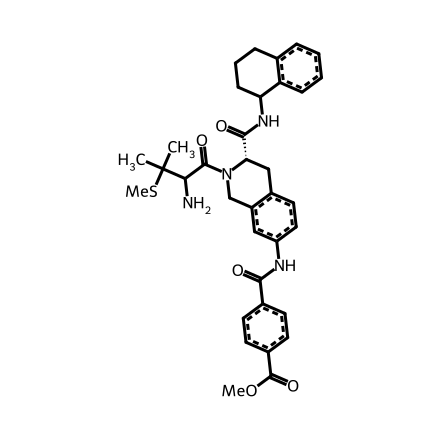 COC(=O)c1ccc(C(=O)Nc2ccc3c(c2)CN(C(=O)C(N)C(C)(C)SC)[C@H](C(=O)NC2CCCc4ccccc42)C3)cc1